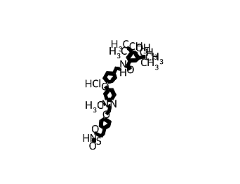 Cl.Cn1c(COc2ccc(CC3SC(=O)NC3=O)cc2)nc2ccc(Oc3ccc(CCNC(=O)c4cc(C(C)(C)C)c(O)c(C(C)(C)C)c4)cc3)cc21